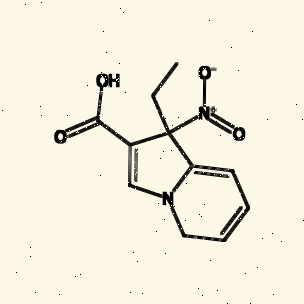 CCC1([N+](=O)[O-])C(C(=O)O)=CN2CC=CC=C21